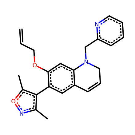 C=CCOc1cc2c(cc1-c1c(C)noc1C)C=CCN2Cc1ccccn1